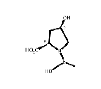 CB(O)N1C[C@H](O)C[C@@H]1C(=O)O